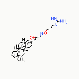 C[C@@]12CCC[C@H]1[C@@H]1CC[C@@H]3C[C@](O)(C=CC=NOCCCNC(=N)N)CC[C@]3(C)[C@H]1CC2